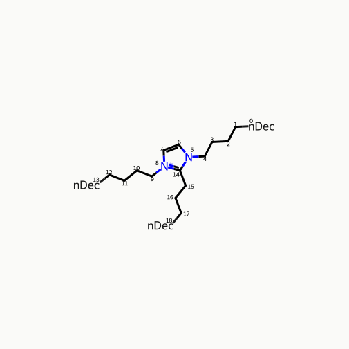 CCCCCCCCCCCCCCn1cc[n+](CCCCCCCCCCCCCC)c1CCCCCCCCCCCCC